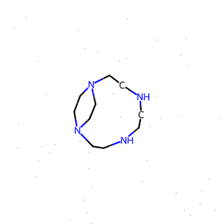 C1CNCCN2CCN(CCN1)CC2